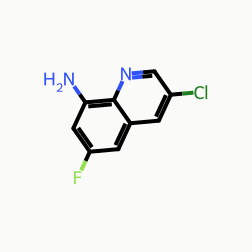 Nc1cc(F)cc2cc(Cl)cnc12